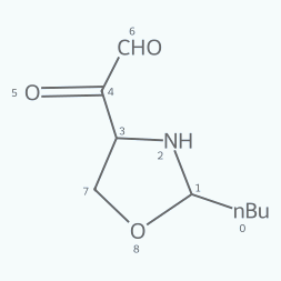 CCCCC1NC(C(=O)C=O)CO1